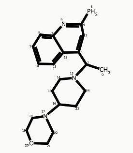 CC(c1cc(P)nc2ccccc12)N1CCC(N2CCOCC2)CC1